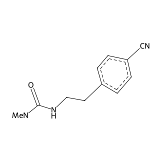 CNC(=O)NCCc1ccc(C#N)cc1